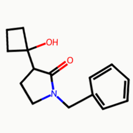 O=C1C(C2(O)CCC2)CCN1Cc1ccccc1